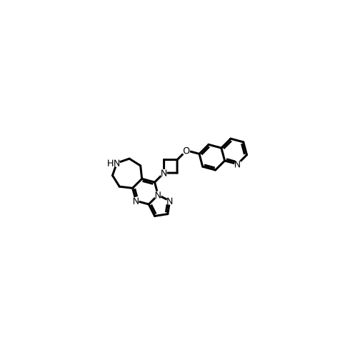 c1cnc2ccc(OC3CN(c4c5c(nc6ccnn46)CCNCC5)C3)cc2c1